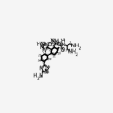 NCC(CN)NS(=O)(=O)c1ccc(-c2cccc(C3N=NC(N)=N3)c2)c(-c2nn[nH]n2)c1S(N)(=O)=O